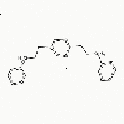 c1ccc([SiH2]CCc2ccc(CC[SiH2]c3ccccc3)cc2)cc1